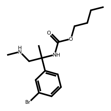 CCCCOC(=O)NC(C)(CNC)c1cccc(Br)c1